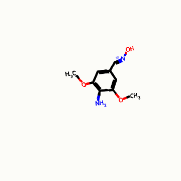 COc1cc(/C=N/O)cc(OC)c1N